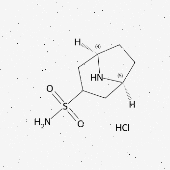 Cl.NS(=O)(=O)C1C[C@H]2CC[C@@H](C1)N2